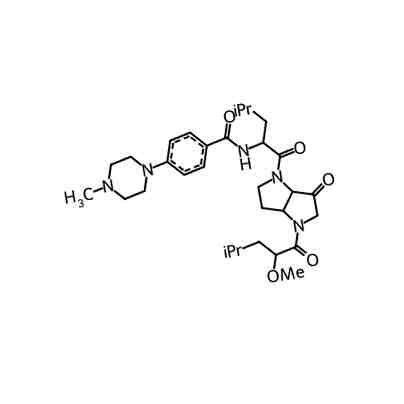 COC(CC(C)C)C(=O)N1CC(=O)C2C1CCN2C(=O)C(CC(C)C)NC(=O)c1ccc(N2CCN(C)CC2)cc1